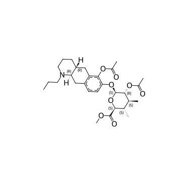 CCCN1CCC[C@@H]2Cc3c(ccc(O[C@@H]4O[C@H](C(=O)OC)[C@@H](C)[C@H](C)[C@H]4OC(C)=O)c3OC(C)=O)C[C@H]21